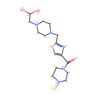 O=C(c1coc(CN2CCN(CC(O)O)CC2)n1)N1CCN(P)CC1